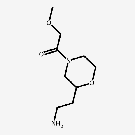 COCC(=O)N1CCOC(CCN)C1